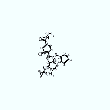 CNC(=O)c1ccc(-c2nc3c(OC4(C)CC4)ncnc3n2Cc2ccccc2)c(Cl)c1